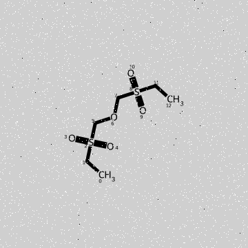 CCS(=O)(=O)COCS(=O)(=O)CC